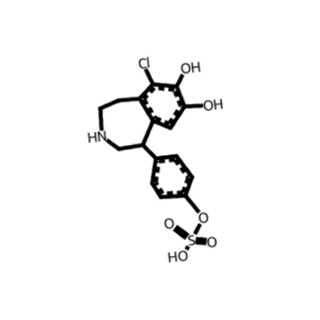 O=S(=O)(O)Oc1ccc(C2CNCCc3c2cc(O)c(O)c3Cl)cc1